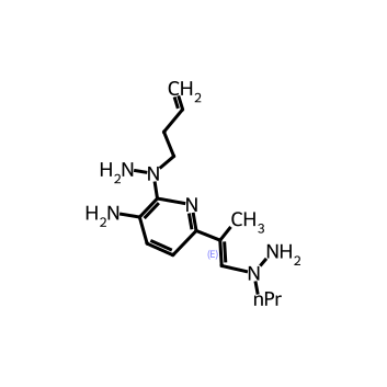 C=CCCN(N)c1nc(/C(C)=C/N(N)CCC)ccc1N